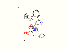 O=C(NC(Cc1ccccc1)C(O)C(=O)O)c1cncc(-c2ccccc2C(=O)O)c1